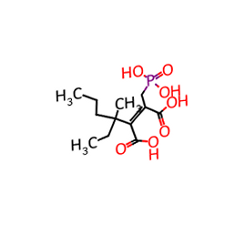 CCCC(C)(CC)C(C(=O)O)=C(CP(=O)(O)O)C(=O)O